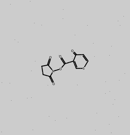 O=C(ON1C(=O)CCC1=O)c1csccc1=O